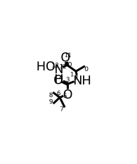 CC(NC(=O)OC(C)(C)C)C(=O)NO